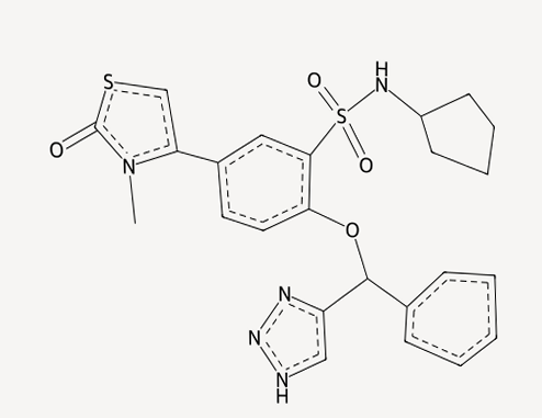 Cn1c(-c2ccc(OC(c3ccccc3)c3c[nH]nn3)c(S(=O)(=O)NC3CCCC3)c2)csc1=O